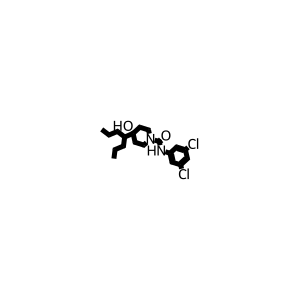 CCCC(CCC)C1(O)CCN(C(=O)Nc2cc(Cl)cc(Cl)c2)CC1